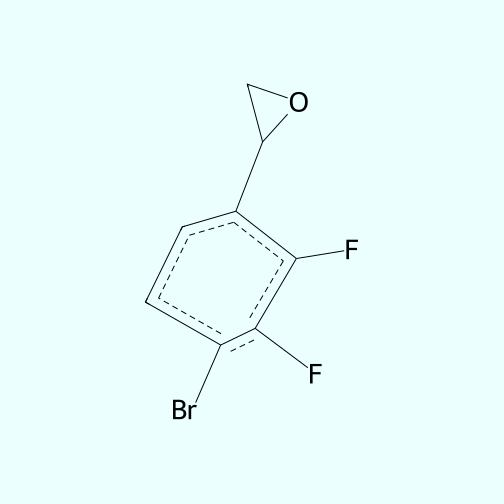 Fc1c(Br)ccc(C2CO2)c1F